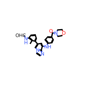 Cc1c(NC=O)cccc1-c1cc(Nc2ccc(C(=O)N3CCOCC3)cc2)c2nccn2c1